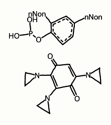 CCCCCCCCCc1ccc(OP(O)O)c(CCCCCCCCC)c1.O=C1C=C(N2CC2)C(=O)C(N2CC2)=C1N1CC1